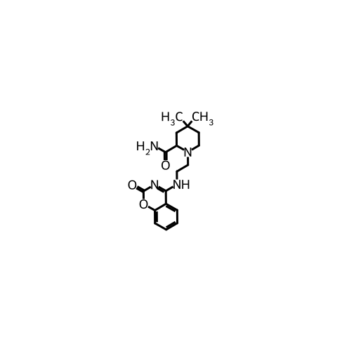 CC1(C)CCN(CCNc2nc(=O)oc3ccccc23)C(C(N)=O)C1